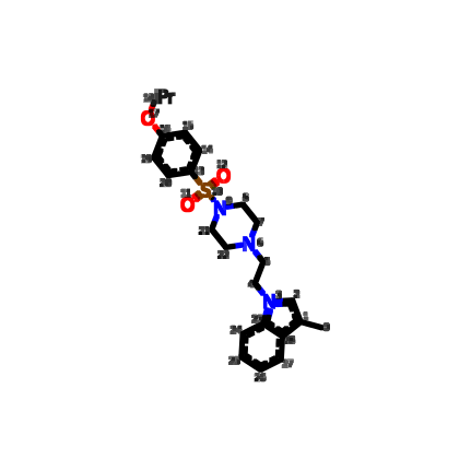 Cc1cn(CCN2CCN(S(=O)(=O)c3ccc(OC(C)C)cc3)CC2)c2ccccc12